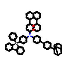 c1ccc(-c2cccc3cccc(-c4ccc(N(c5ccc(-c6ccc(C78CC9CC(CC(C9)C7)C8)cc6)cc5)c5ccc([Si]6(c7ccccc7)c7ccccc7-c7ccccc76)cc5)cc4)c23)cc1